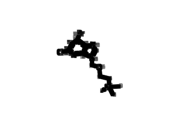 C[Si](C)(C)CCOCn1cnc2c(Br)cc(Cl)nc21